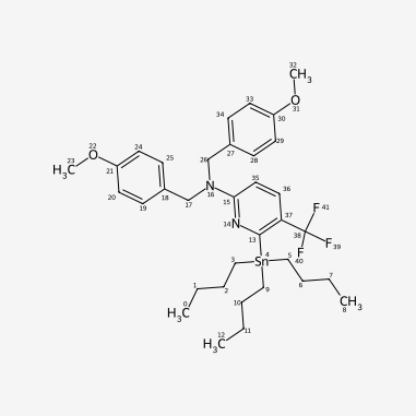 CCC[CH2][Sn]([CH2]CCC)([CH2]CCC)[c]1nc(N(Cc2ccc(OC)cc2)Cc2ccc(OC)cc2)ccc1C(F)(F)F